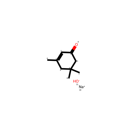 CC1=CC(=O)CC(C)(C)C1.[Na+].[OH-]